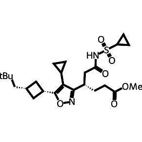 COC(=O)CC[C@@H](CC(=O)NS(=O)(=O)C1CC1)c1noc([C@H]2C[C@@H](CC(C)(C)C)C2)c1C1CC1